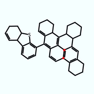 C1=CC2=C(c3cccc4c3SC3CCC=CC43)C3=CCCCC3C(C3CCCCC3c3ccc4c(c3)CCCC4)=C2CC1